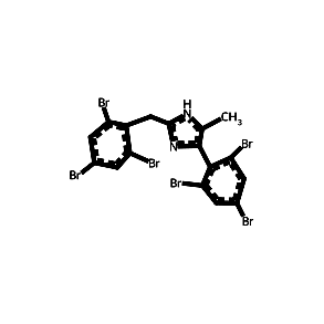 Cc1[nH]c(Cc2c(Br)cc(Br)cc2Br)nc1-c1c(Br)cc(Br)cc1Br